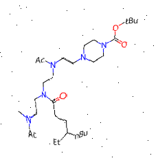 CCCCC(CC)CCC(=O)N(CCN(C)C(C)=O)CCN(CCN1CCN(C(=O)OC(C)(C)C)CC1)C(C)=O